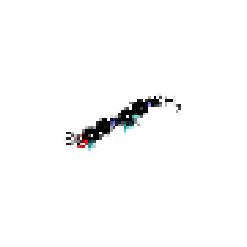 C/C=C/c1ccc(-c2ccc(/C=C/c3ccc(-c4ccc(OCC)c(F)c4)cc3)c(F)c2F)cc1